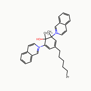 CC(C)CCCCCC1=CC(C)([n+]2ccc3ccccc3c2)C(C)(O)C([n+]2ccc3ccccc3c2)=C1